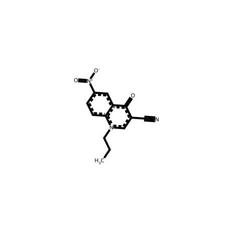 CCCn1cc(C#N)c(=O)c2cc([N+](=O)[O-])ccc21